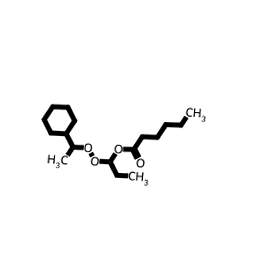 CCCCCC(=O)OC(CC)OOC(C)C1CCCCC1